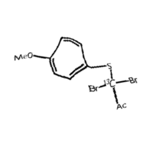 COc1ccc(S[13C](Br)(Br)[13C](C)=O)cc1